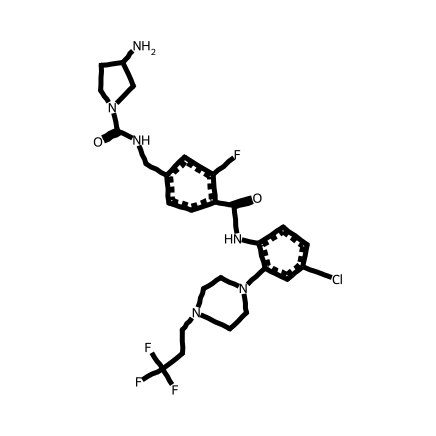 NC1CCN(C(=O)NCc2ccc(C(=O)Nc3ccc(Cl)cc3N3CCN(CCC(F)(F)F)CC3)c(F)c2)C1